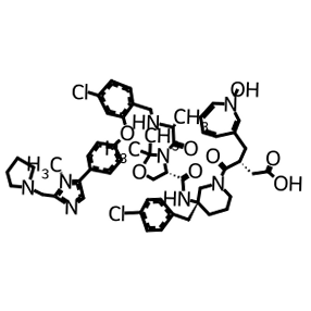 C[C@H](NCc1ccc(Cl)cc1Oc1ccc(-c2cnc(CN3CCCC3)n2C)cc1)C(=O)N1[C@H](C(=O)N[C@@]2(Cc3ccc(Cl)cc3)CCCN(C(=O)[C@@H](CC(=O)O)CC3=CN(O)C=CC=C3)C2)COC1(C)C